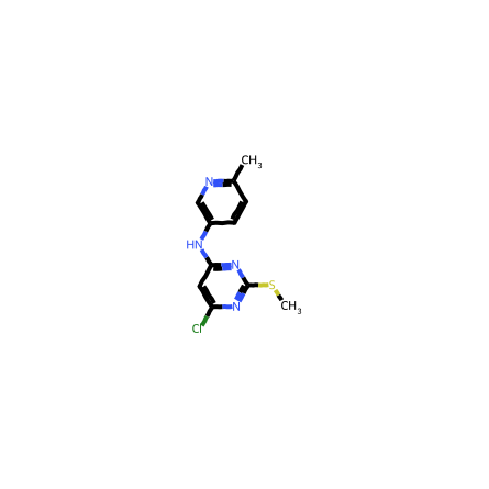 CSc1nc(Cl)cc(Nc2ccc(C)nc2)n1